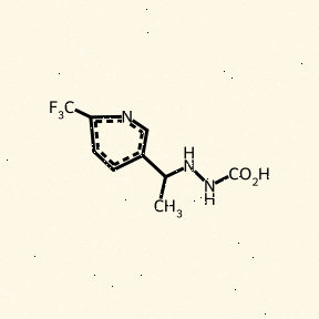 CC(NNC(=O)O)c1ccc(C(F)(F)F)nc1